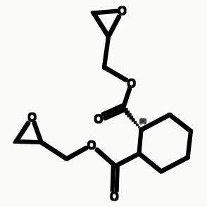 O=C(OCC1CO1)C1CCCC[C@H]1C(=O)OCC1CO1